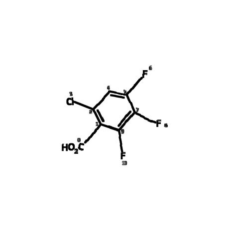 O=C(O)c1c(Cl)cc(F)c(F)c1F